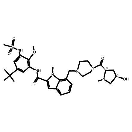 COc1c(NC(=O)c2cc3cccc(CN4CCN(C(=O)[C@H]5C[C@@H](O)CN5C)CC4)c3n2C)cc(C(C)(C)C)cc1NS(C)(=O)=O